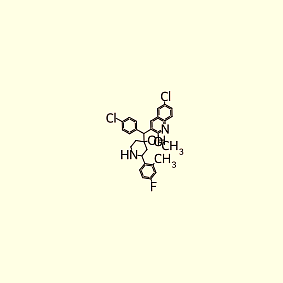 COc1nc2ccc(Cl)cc2cc1C(c1ccc(Cl)cc1)C1(O)CCNC(c2ccc(F)cc2C)C1